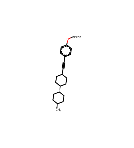 CCCCCOc1ccc(C#CC2CCC([C@H]3CC[C@H](C)CC3)CC2)cc1